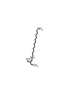 CCC(CC)CNCCCCCCCCCCCCN